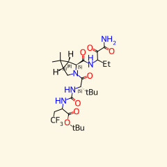 CCC(NC(=O)[C@@H]1[C@@H]2[C@H](CN1C(=O)[C@@H](NC(=O)NC(CC(F)(F)F)C(=O)OC(C)(C)C)C(C)(C)C)C2(C)C)C(=O)C(N)=O